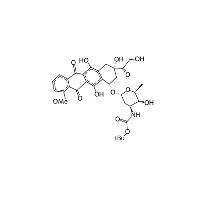 COc1cccc2c1C(=O)c1c(O)c3c(c(O)c1C2=O)C[C@@](O)(C(=O)CO)C[C@@H]3O[C@H]1C[C@H](NC(=O)OC(C)(C)C)[C@H](O)[C@H](C)O1